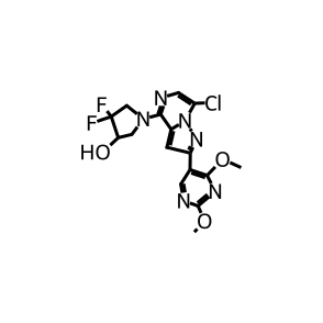 COc1ncc(-c2cc3c(N4CC(O)C(F)(F)C4)ncc(Cl)n3n2)c(OC)n1